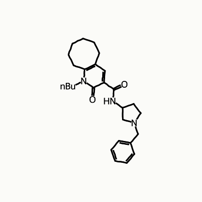 CCCCn1c2c(cc(C(=O)NC3CCN(Cc4ccccc4)C3)c1=O)CCCCCC2